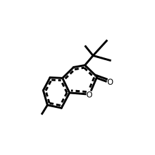 Cc1ccc2cc(C(C)(C)C)c(=O)oc2c1